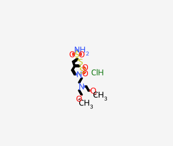 COCCN(CCOC)CCN1C=Cc2cc(S(N)(=O)=O)sc2S1(=O)=O.Cl